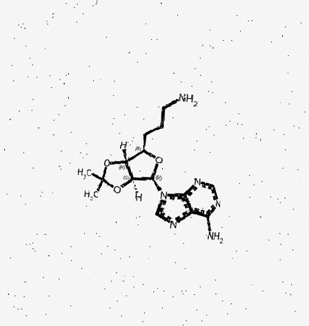 CC1(C)O[C@H]2[C@H](O1)[C@@H](CCCN)O[C@H]2n1cnc2c(N)ncnc21